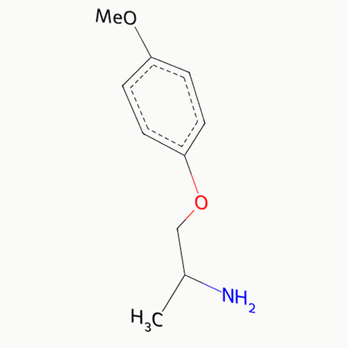 COc1ccc(OCC(C)N)cc1